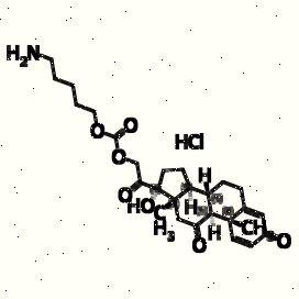 C[C@]12C=CC(=O)C=C1CC[C@@H]1[C@@H]2C(=O)C[C@@]2(C)[C@H]1CC[C@]2(O)C(=O)COC(=O)OCCCCCN.Cl